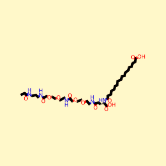 CCC(=O)NCCCNC(=O)COCCOCCNC(=O)COCCOCCNC(=O)CC[C@H](NC(=O)CCCCCCCCCCCCCCCCC(=O)O)C(=O)O